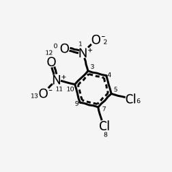 O=[N+]([O-])c1cc(Cl)c(Cl)cc1[N+](=O)[O-]